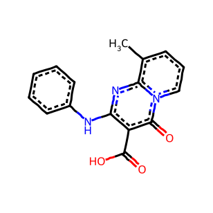 Cc1cccn2c(=O)c(C(=O)O)c(Nc3ccccc3)nc12